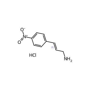 Cl.NC/C=C/c1ccc([N+](=O)[O-])cc1